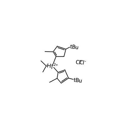 CC1=[C]([Hf+2]([C]2=CC(C(C)(C)C)=CC2C)=[C](C)C)CC(C(C)(C)C)=C1.[Cl-].[Cl-]